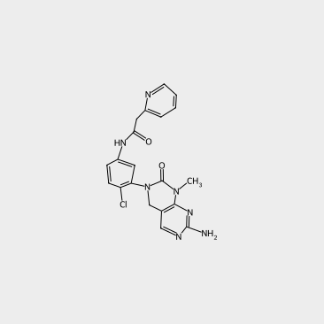 CN1C(=O)N(c2cc(NC(=O)Cc3ccccn3)ccc2Cl)Cc2cnc(N)nc21